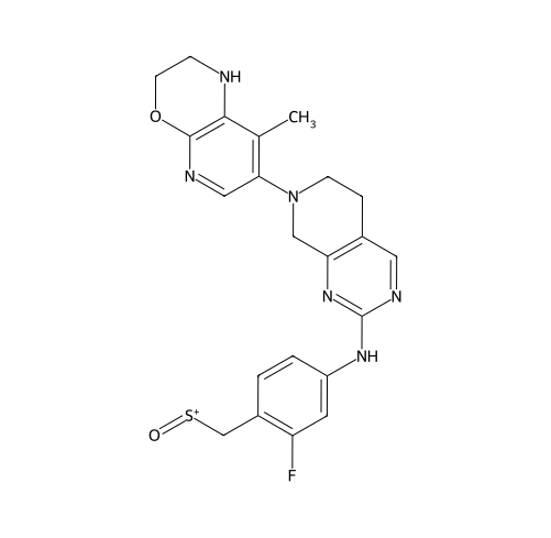 Cc1c(N2CCc3cnc(Nc4ccc(C[S+]=O)c(F)c4)nc3C2)cnc2c1NCCO2